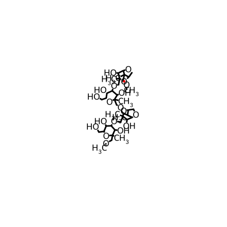 COCC1(C)OC(CO)C(O)C(OCC2(C)OC3COC(C2O)C3(C)COCC2(C)OC(CO)C(O)C(OCC3(C)OC4COC(C3O)C4(C)COC)C2O)C1O